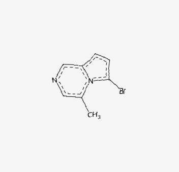 Cc1cncc2ccc(Br)n12